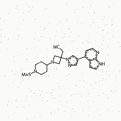 CSN1CCC(N2CC(CC#N)(n3cc(-c4ccnc5[nH]ccc45)cn3)C2)CC1